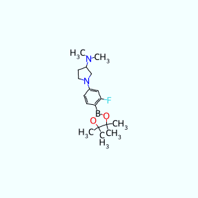 CN(C)C1CCN(c2ccc(B3OC(C)(C)C(C)(C)O3)c(F)c2)C1